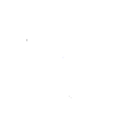 CC(C)c1ccc2c(c1)/C(=C/CCN(C)C)c1ccccc1CC2